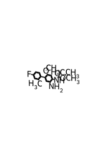 COc1cc(NC(=O)OC(C)(C)C)c(N)cc1-c1ccc(F)cc1C